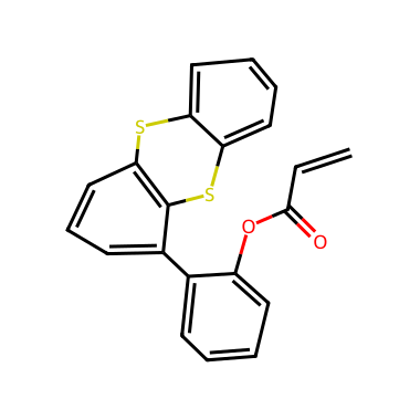 C=CC(=O)Oc1ccccc1-c1cccc2c1Sc1ccccc1S2